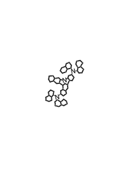 c1ccc2cc3c(cc2c1)c1c2cc(N(c4cccc5ccccc45)c4cccc5ccccc45)ccc2cc2c4ccc(N(c5cccc6ccccc56)c5cccc6ccccc56)cc4n3c21